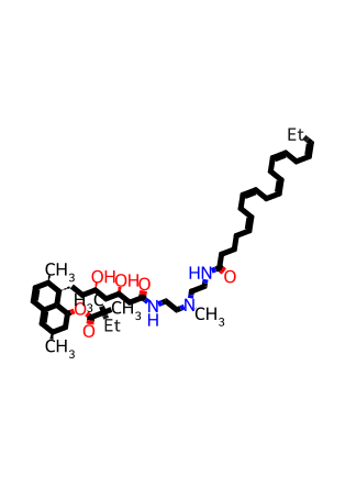 CC/C=C\C/C=C\C/C=C\C/C=C\C/C=C\CCCC(=O)NCCN(C)CCNC(=O)C[C@H](O)C[C@@H](O)CC[C@@H]1C2C(=C[C@H](C)CC2OC(=O)C(C)(C)CC)C=C[C@@H]1C